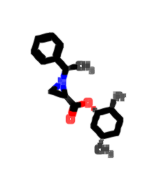 CC(C)[C@H]1CC[C@H](C)C[C@@H]1OC(=O)[C@H]1CN1[C@H](C)c1ccccc1